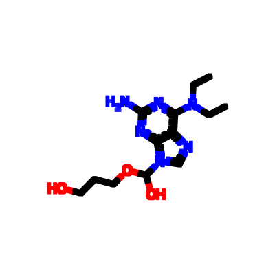 CCN(CC)c1nc(N)nc2c1ncn2C(O)OCCCO